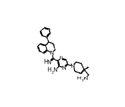 CC1(CN)CCN(c2cnc(C(=N)N3CCC(c4ccccc4)c4ccccc43)c(N)n2)CC1